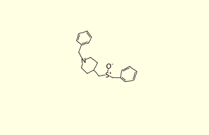 [O-][S+](Cc1ccccc1)CC1CCN(Cc2ccccc2)CC1